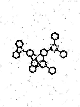 c1ccc(-c2cc(-c3ccccc3)nc(-c3cc(-c4nc(-c5ccccc5)nc(-c5ccccc5)n4)ccc3-n3c4ccccc4c4cc(-n5c6ccccc6c6ccccc65)ccc43)n2)cc1